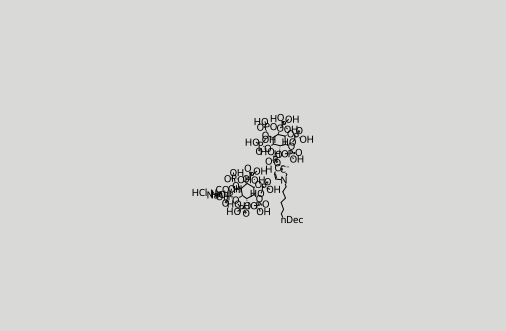 CCCCCCCCCCCCCCCCN1C=C[C-]=[C-]C1.Cl.O=C(O)O.O=P(O)(O)O[C@H]1[C@H](OP(=O)(O)O)[C@@H](OP(=O)(O)O)[C@H](OP(=O)(O)O)[C@@H](OP(=O)(O)O)[C@H]1OP(=O)(O)O.O=P(O)(O)O[C@H]1[C@H](OP(=O)(O)O)[C@@H](OP(=O)(O)O)[C@H](OP(=O)(O)O)[C@@H](OP(=O)(O)O)[C@H]1OP(=O)(O)O.[Na+].[Na+]